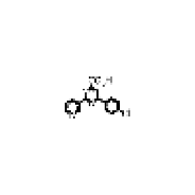 O=C(O)c1cc(-c2ccc(Cl)cc2)nc(-c2cccnc2)n1